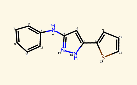 c1ccc(Nc2cc(-c3cccs3)[nH]n2)cc1